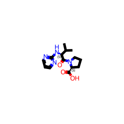 CC(C)[C@H](Nc1ncccn1)C(=O)N1CCC[C@H]1C(=O)O